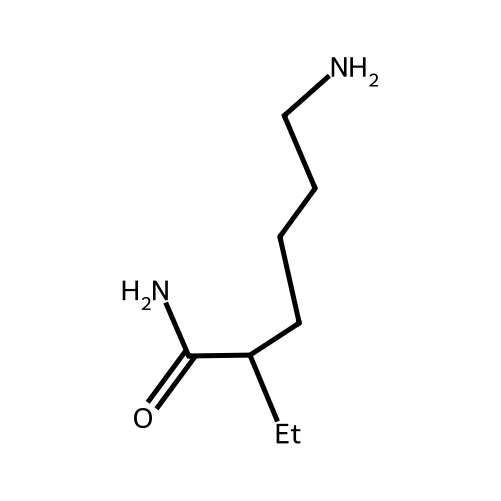 [CH2]CC(CCCCN)C(N)=O